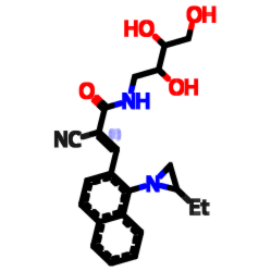 CCC1CN1c1c(/C=C(\C#N)C(=O)NCC(O)C(O)CO)ccc2ccccc12